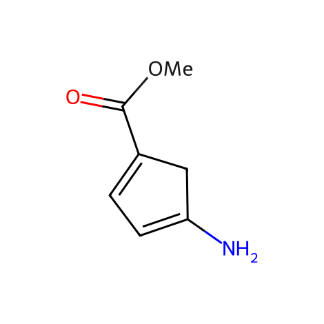 COC(=O)C1=CC=C(N)C1